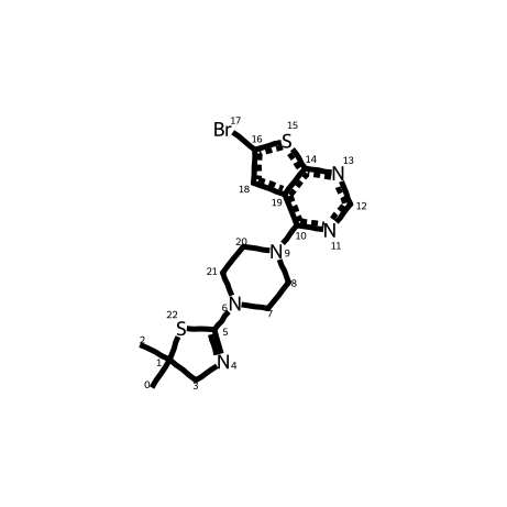 CC1(C)CN=C(N2CCN(c3ncnc4sc(Br)cc34)CC2)S1